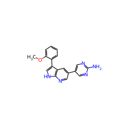 COc1ccccc1-c1c[nH]c2ncc(-c3cnc(N)nc3)cc12